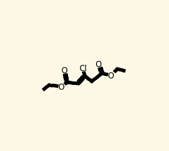 CCOC(=O)C=C(Cl)CC(=O)OCC